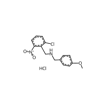 COc1ccc(CNCc2c(Cl)cccc2[N+](=O)[O-])cc1.Cl